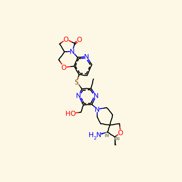 Cc1nc(N2CCC3(CC2)CO[C@@H](C)[C@H]3N)c(CO)nc1Sc1ccnc2c1OCC1COC(=O)N21